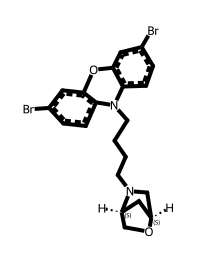 Brc1ccc2c(c1)Oc1cc(Br)ccc1N2CCCCN1C[C@@H]2C[C@H]1CO2